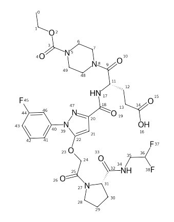 CCOC(=O)N1CCN(C(=O)[C@H](CCC(=O)O)NC(=O)c2cc(OCC(=O)N3CCC[C@H]3C(=O)NCC(F)F)n(-c3cccc(F)c3)n2)CC1